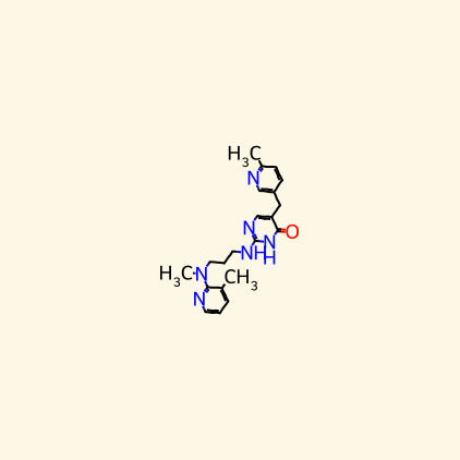 Cc1ccc(Cc2cnc(NCCCN(C)c3ncccc3C)[nH]c2=O)cn1